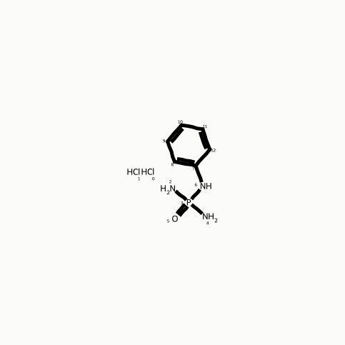 Cl.Cl.NP(N)(=O)Nc1ccccc1